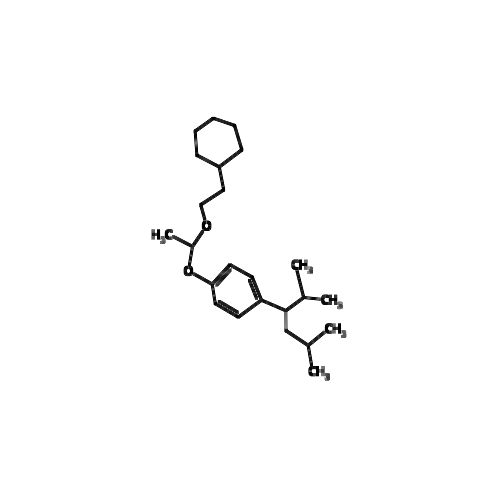 CC(C)CC(c1ccc(OC(C)OCCC2CCCCC2)cc1)C(C)C